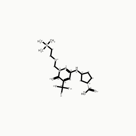 C[Si](C)(C)CCOCn1nc(NC2CC[C@H](C(=O)O)C2)cc(C(F)(F)F)c1=O